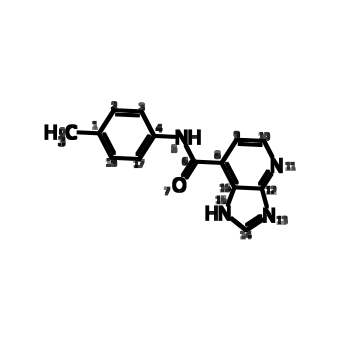 Cc1ccc(NC(=O)c2ccnc3nc[nH]c23)cc1